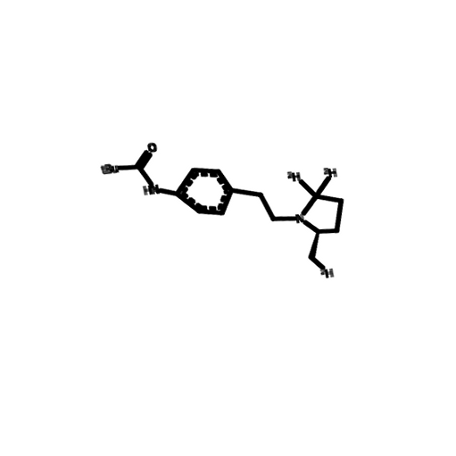 [2H]C[C@@H]1CCC([2H])([2H])N1CCc1ccc(NC(=O)C(C)(C)C)cc1